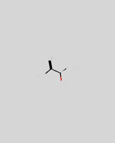 C=C(C)[C@H](O)C(=O)O